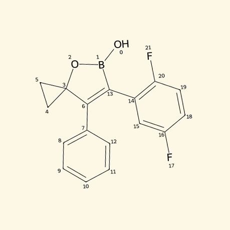 OB1OC2(CC2)C(c2ccccc2)=C1c1cc(F)ccc1F